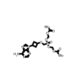 CC(C)(C)C(=O)OCOP(=O)(COC1CC(n2cnc3c(N)ncnc32)C1)OCOC(=O)C(C)(C)C